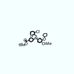 COc1ccc(N(Cc2ncccc2Cl)c2ccc(C(=O)OC(C)(C)C)cc2)cc1OC1CCCC1